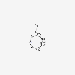 COCCOc1ccc2cc1CN(C)C/C=C/COCc1coc(c1)-c1ccnc(n1)N2